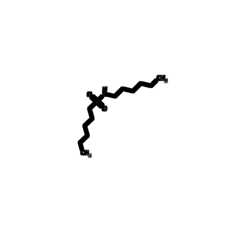 CCCCCCNS(=O)(=O)CCCCCC